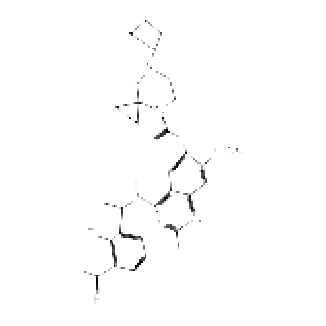 COc1cc2nc(C)nc(NC(C)c3cccc(C(F)F)c3F)c2cc1OC(=O)N1CCN(C2CCC2)CC12CC2